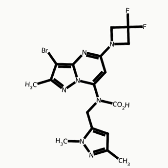 Cc1cc(CN(C(=O)O)c2cc(N3CC(F)(F)C3)nc3c(Br)c(C)nn23)n(C)n1